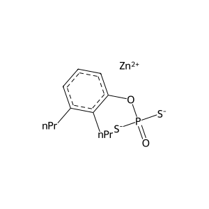 CCCc1cccc(OP(=O)([S-])[S-])c1CCC.[Zn+2]